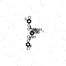 NS(=O)(=O)O[C@@H]1CC2(NC(=O)COc3ccc(Cl)c(F)c3)CCC1(NC(=O)COc1ccc(Cl)c(F)c1)CC2